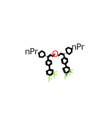 CCC[C@H]1CC[C@H](C(=CCOCC=C(c2ccc(-c3ccc(F)c(F)c3)cc2)[C@H]2CC[C@H](CCC)CC2)c2ccc(-c3ccc(F)c(F)c3)cc2)CC1